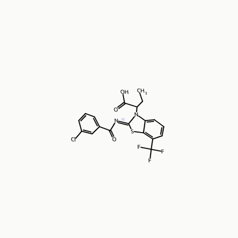 CCC(C(=O)O)n1/c(=N/C(=O)c2cccc(Cl)c2)sc2c(C(F)(F)F)cccc21